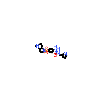 CN1CCCC2(CCCN(S(=O)(=O)c3ccc(NC(=O)NCc4cccnc4)cc3)C2)C1